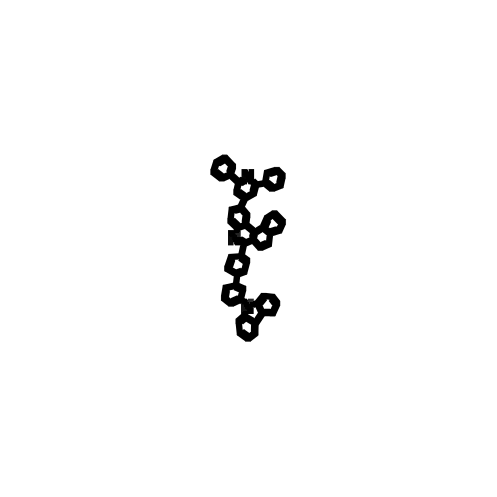 c1ccc(-c2cc(-c3ccc4nc(-c5ccc(-c6cccc(-n7c8ccccc8c8ccccc87)c6)cc5)c5ccc6ccccc6c5c4c3)cc(-c3ccccc3)n2)cc1